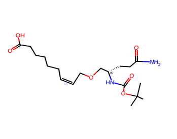 CC(C)(C)OC(=O)N[C@@H](CCC(N)=O)COC/C=C\CCCCCC(=O)O